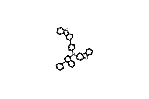 c1ccc(-c2ccc(N(c3ccc(-c4ccc5oc6ccccc6c5c4)cc3)c3ccc4oc5ccccc5c4c3)c3ccccc23)cc1